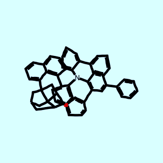 c1ccc(-c2ccc(N(c3ccccc3-c3ccccc3)c3ccccc3-c3cccc4cccc(C56CC7CC8CC(C5)C86C7)c34)c(-c3ccccc3)c2)cc1